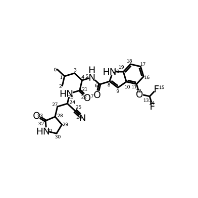 CC(C)CC(NC(=O)c1cc2c(OC(F)F)cccc2[nH]1)C(=O)NC(C#N)CC1CCNC1=O